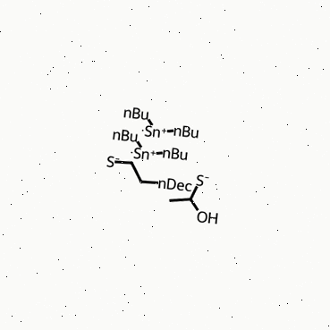 CC(O)[S-].CCCCCCCCCCCC[S-].CCC[CH2][Sn+][CH2]CCC.CCC[CH2][Sn+][CH2]CCC